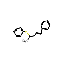 O=C(O)C(CC=Cc1ccccc1)Sc1ccccc1